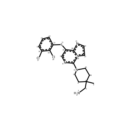 CC1(CN)CCN(c2ncc(Sc3cccc(Cl)c3Cl)c3nccn23)CC1